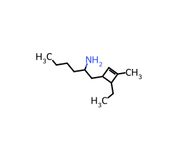 CCCCC(N)CC1C=C(C)C1CC